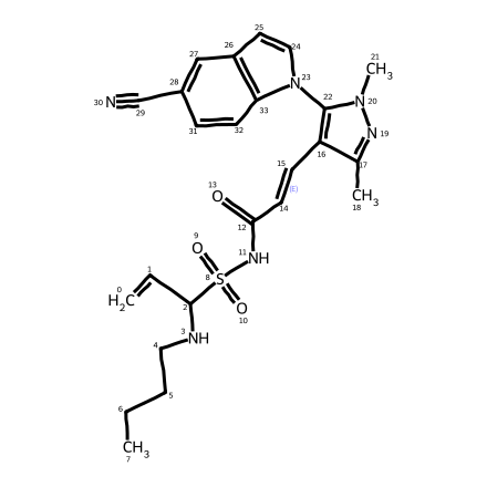 C=CC(NCCCC)S(=O)(=O)NC(=O)/C=C/c1c(C)nn(C)c1-n1ccc2cc(C#N)ccc21